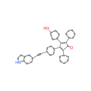 O=C1C(c2ccccc2)=C(c2ccc(O)cc2)C(c2ccc(C#Cc3ccc4[nH]ccc4c3)cc2)=C1c1ccccc1